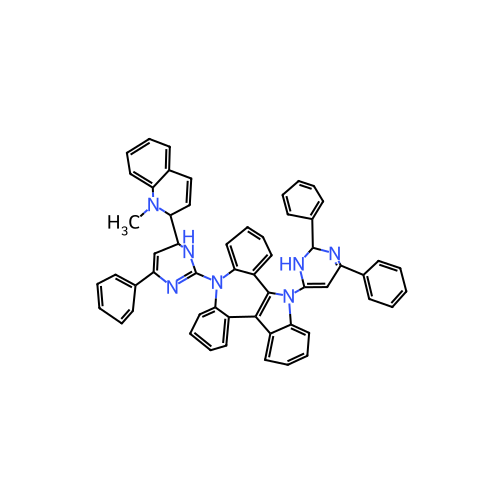 CN1c2ccccc2C=CC1C1C=C(c2ccccc2)N=C(N2c3ccccc3-c3c(n(C4=CC(c5ccccc5)=NC(c5ccccc5)N4)c4ccccc34)-c3ccccc32)N1